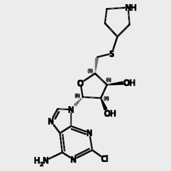 Nc1nc(Cl)nc2c1ncn2[C@@H]1O[C@H](CSC2CCNC2)[C@@H](O)[C@H]1O